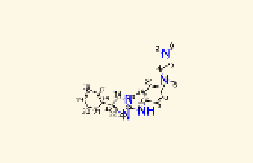 CN(C)CCN(C)c1ccc(Nc2ncc(-c3ccccc3)cn2)cc1